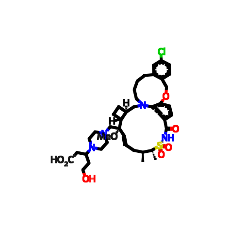 CO[C@@]1(CN2CCN(C(CCO)CC(=O)O)CC2)/C=C/C[C@H](C)[C@@H](C)S(=O)(=O)NC(=O)c2ccc3c(c2)N(CCCCc2cc(Cl)ccc2CO3)C[C@@H]2CC[C@H]21